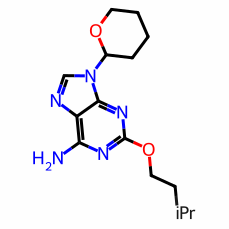 CC(C)CCOc1nc(N)c2ncn(C3CCCCO3)c2n1